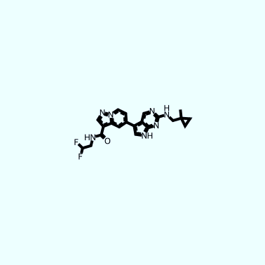 CC1(CNc2ncc3c(-c4ccn5ncc(C(=O)NCC(F)F)c5c4)c[nH]c3n2)CC1